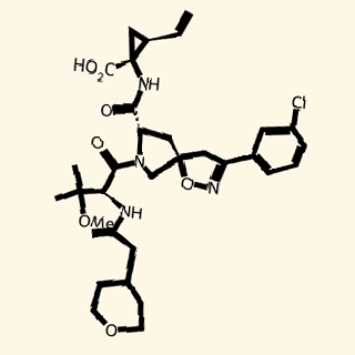 C=C[C@@H]1C[C@]1(NC(=O)[C@@H]1C[C@]2(CC(c3cccc(Cl)c3)=NO2)CN1C(=O)[C@@H](NC(=C)CC1CCOCC1)C(C)(C)OC)C(=O)O